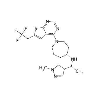 C[C@@H](N[C@@H]1CCCN(c2ncnc3sc(CC(F)(F)F)cc23)CC1)C1C=NN(C)C1